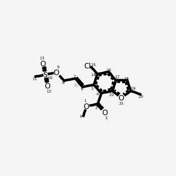 COC(=O)c1c(/C=C/COS(C)(=O)=O)c(Cl)cc2cc(C)oc12